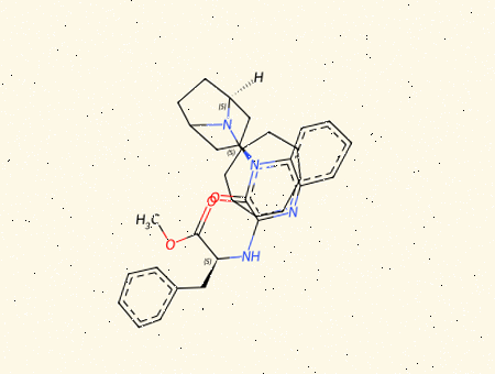 COC(=O)[C@H](Cc1ccccc1)Nc1nc2ccccc2n([C@H]2CC3CC[C@@H](C2)N3C2CCCCCCC2)c1=O